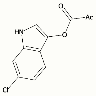 CC(=O)C(=O)Oc1c[nH]c2cc(Cl)ccc12